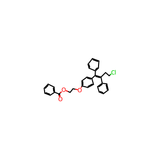 O=C(OCCOc1ccc(/C(=C(/CCCl)c2ccccc2)c2ccccc2)cc1)c1ccccc1